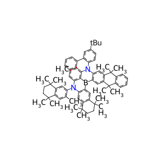 Cc1cc2c3c(c1)N(c1ccc(C(C)(C)C)cc1-c1ccccc1)c1cc4c(cc1B3c1cc3c(cc1N2c1cc2c(cc1C)C(C)(C)CCC2(C)C)C(C)(C)CCC3(C)C)C(C)(C)c1ccccc1C4(C)C